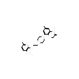 N#Cc1ccc(Cl)nc1SCCN1CCN(c2cc(Cl)cc3c2OCC(=O)N3)CC1